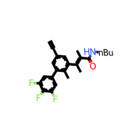 C#Cc1cc(/C(C)=C(\C)C(=O)NCCCC)c(C)c(-c2cc(F)c(F)c(F)c2)c1